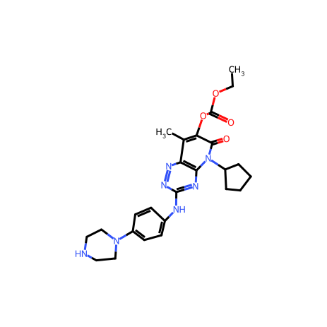 CCOC(=O)Oc1c(C)c2nnc(Nc3ccc(N4CCNCC4)cc3)nc2n(C2CCCC2)c1=O